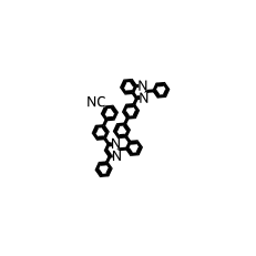 N#Cc1cccc(-c2cccc(-c3cc(-c4ccccc4)nc(-c4ccccc4-c4cccc(-c5ccc(-c6nc(-c7ccccc7)nc7ccccc67)cc5)c4)n3)c2)c1